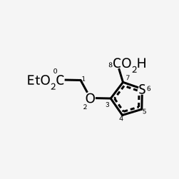 CCOC(=O)COc1ccsc1C(=O)O